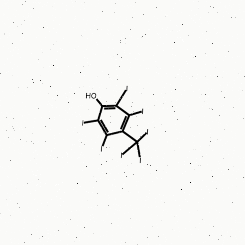 Oc1c(I)c(I)c(C(I)(I)I)c(I)c1I